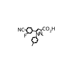 Cc1ccc(N2C(c3ccc(C#N)c(F)c3)=CC(C(=O)O)N2C)cc1